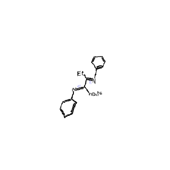 CCCCC(=N\c1ccccc1)/C(CC)=N/c1ccccc1.[Ni]